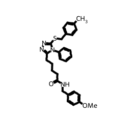 COc1ccc(CNC(=O)CCCCc2nnc(SCc3ccc(C)cc3)n2-c2ccccc2)cc1